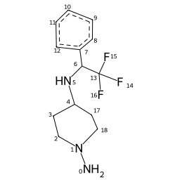 NN1CCC(NC(c2ccccc2)C(F)(F)F)CC1